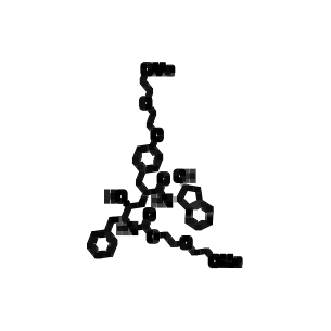 COCCOCCOC(=O)N[C@@H](Cc1ccccc1)[C@@H](O)C[C@@H](Cc1ccc(OCCOCCOC)cc1)C(=O)N[C@H]1c2ccccc2C[C@H]1O